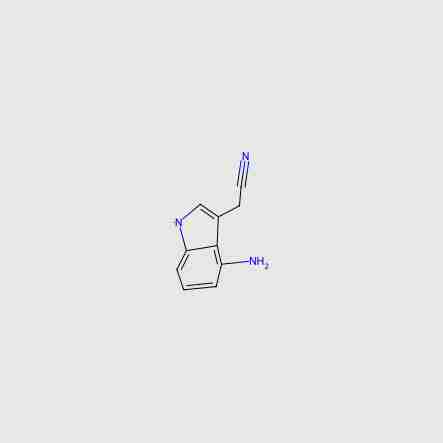 N#CCC1=C[N]c2cccc(N)c21